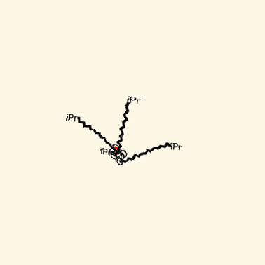 CC(C)CCCCCCCCCCCCCCC(=O)[O][Zr](=[O])([O]C(C)C)([C](=O)CCCCCCCCCCCCCCC(C)C)[C](=O)CCCCCCCCCCCCCCC(C)C